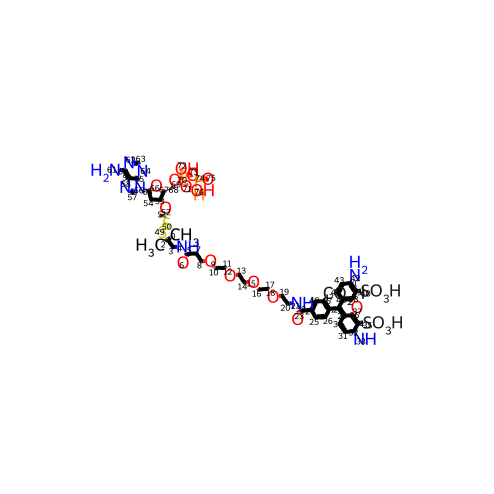 CC(C)(CNC(=O)CCOCCOCCOCCOCCNC(=O)c1ccc(-c2c3ccc(=N)c(S(=O)(=O)O)c-3oc3c(S(=O)(=O)O)c(N)ccc23)c(C(=O)O)c1)SSCO[C@@H]1C[C@H](n2cnc3c(N)ncnc32)O[C@@H]1COP(=O)(O)O[PH](=O)O